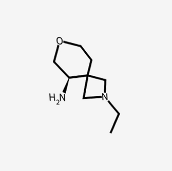 CCN1CC2(CCOC[C@@H]2N)C1